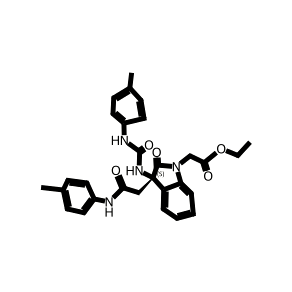 CCOC(=O)CN1C(=O)[C@@](CC(=O)Nc2ccc(C)cc2)(NC(=O)Nc2ccc(C)cc2)c2ccccc21